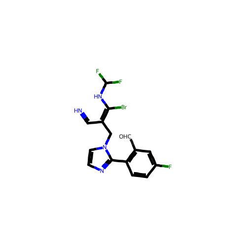 N=C/C(Cn1ccnc1-c1ccc(F)cc1C=O)=C(/Br)NC(F)F